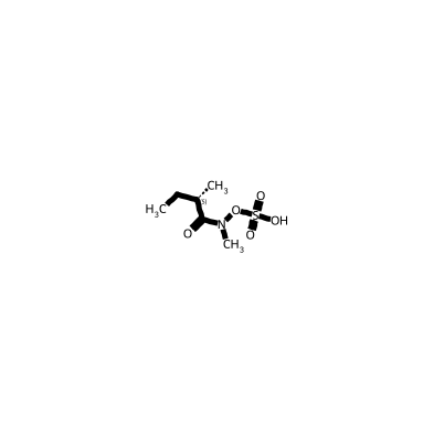 CC[C@H](C)C(=O)N(C)OS(=O)(=O)O